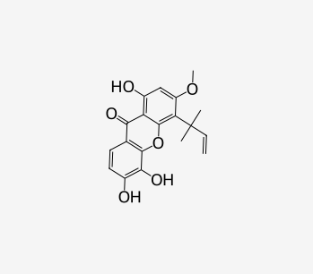 C=CC(C)(C)c1c(OC)cc(O)c2c(=O)c3ccc(O)c(O)c3oc12